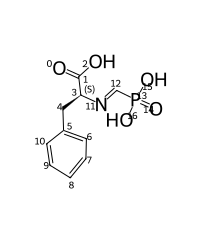 O=C(O)[C@H](Cc1ccccc1)N=CP(=O)(O)O